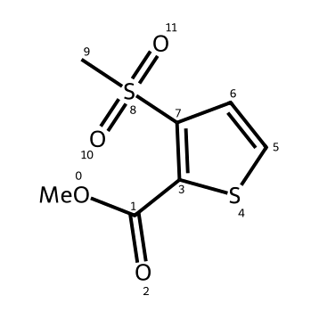 COC(=O)c1sccc1S(C)(=O)=O